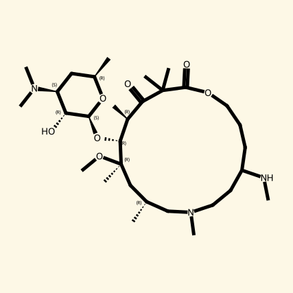 CNC1CCCOC(=O)C(C)(C)C(=O)[C@H](C)[C@@H](O[C@@H]2O[C@H](C)C[C@H](N(C)C)[C@H]2O)[C@](C)(OC)C[C@@H](C)CN(C)CC1